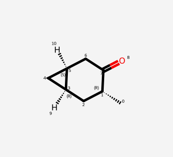 C[C@@H]1C[C@H]2C[C@H]2CC1=O